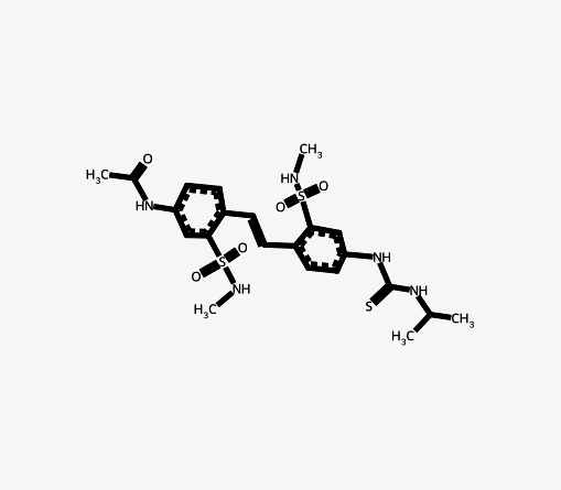 CNS(=O)(=O)c1cc(NC(C)=O)ccc1/C=C/c1ccc(NC(=S)NC(C)C)cc1S(=O)(=O)NC